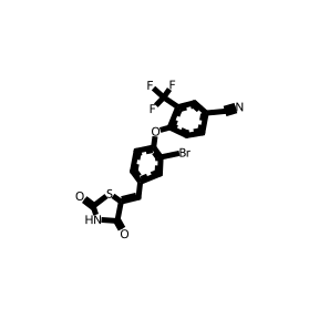 N#Cc1ccc(Oc2ccc(/C=C3\SC(=O)NC3=O)cc2Br)c(C(F)(F)F)c1